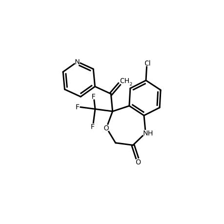 C=C(c1cccnc1)C1(C(F)(F)F)OCC(=O)Nc2ccc(Cl)cc21